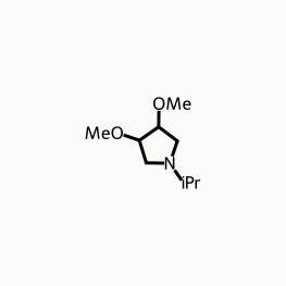 COC1CN(C(C)C)CC1OC